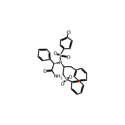 NC(=O)[C@@H](c1ccccc1)N(C(Cc1ccccc1)CS(=O)(=O)c1ccccc1)S(=O)(=O)c1ccc(Cl)cc1